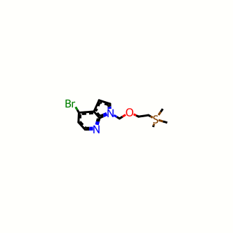 CS(C)(C)CCOCn1ccc2c(Br)ccnc21